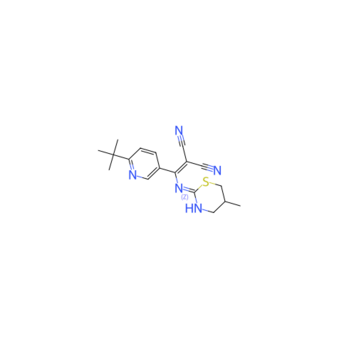 CC1CN/C(=N/C(=C(C#N)C#N)c2ccc(C(C)(C)C)nc2)SC1